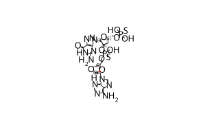 Nc1nc2c(nnn2[C@@H]2O[C@H](COP(O)(O)=S)C[C@H]2OP(O)(=S)OC[C@]23CO[C@H](C2)C(n2cnc4c(N)ncnc42)O3)c(=O)[nH]1